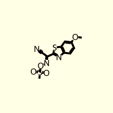 COc1ccc2nc(/C(C#N)=N/OS(C)(=O)=O)sc2c1